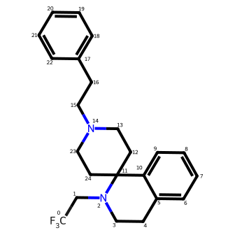 FC(F)(F)CN1CCc2ccccc2C12CCN(CCc1ccccc1)CC2